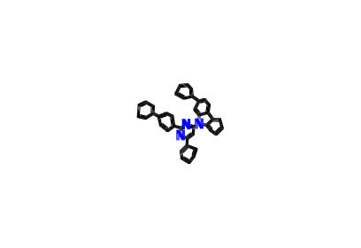 c1ccc(-c2ccc(-c3nc(-c4ccccc4)cc(-n4c5ccccc5c5ccc(-c6ccccc6)cc54)n3)cc2)cc1